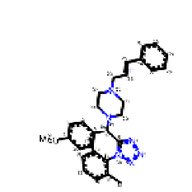 COc1ccc([C@H](c2nnnn2-c2c(C)cccc2C)N2CCN(C/C=C/c3ccccc3)CC2)cc1